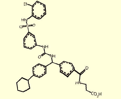 CCc1ccccc1NS(=O)(=O)c1cccc(NC(=O)NC(c2ccc(C(=O)NCCC(=O)O)cc2)c2ccc(C3CCCCC3)cc2)c1